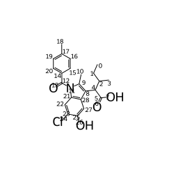 CCC(C)C(C(=O)O)c1c(C)n(C(=O)c2ccc(C)cc2)c2cc(Cl)c(O)cc12